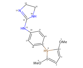 COC1=CC=C(OC)[SH]1c1ccc(NC2=NCCN2)cc1